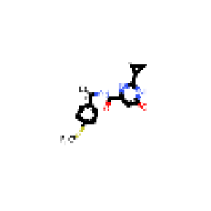 CC[C@@H](NC(=O)c1cc(=O)[nH]c(C2CC2)n1)c1ccc(SC(F)(F)F)cc1